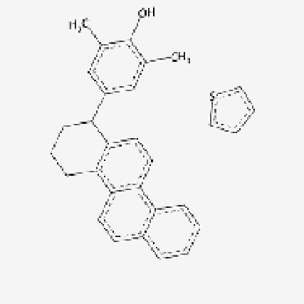 Cc1cc(C2CCCc3c2ccc2c3ccc3ccccc32)cc(C)c1O.c1ccsc1